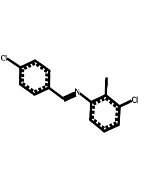 Cc1c(Cl)cccc1N=Cc1ccc(Cl)cc1